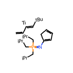 C=CC=CC(C)(C)C.CC(C)CP(CC(C)C)(CC(C)C)=NC1=CC=CC1.[Ti]